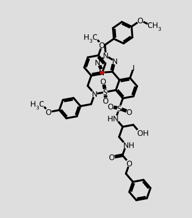 COc1ccc(CN(Cc2ccc(OC)cc2)S(=O)(=O)c2c(S(=O)(=O)NC(CO)CNC(=O)OCc3ccccc3)ccc(I)c2-c2nnn(Cc3ccc(OC)cc3)n2)cc1